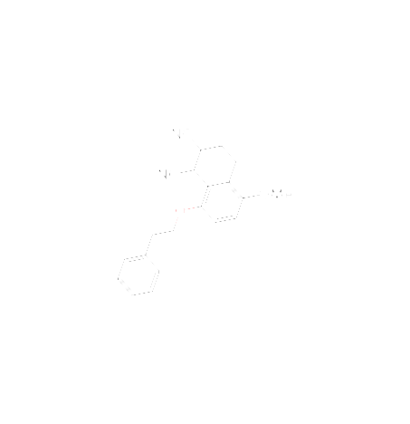 COc1ccc(OCCc2ccccc2)c2c1CCC(C#N)C2C#N